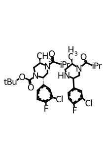 CC(C)C(=O)N1CC(c2ccc(F)c(Cl)c2)NC[C@H]1C.CC(C)C(=O)N1C[C@H](c2ccc(F)c(Cl)c2)N(C(=O)OC(C)(C)C)C[C@H]1C